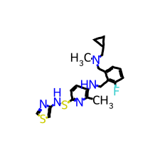 Cc1nc(SNc2cscn2)ccc1NCc1c(F)cccc1CN(C)CC1CC1